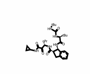 CCC[C@H](NC(=O)[C@@H]1Cc2ccccc2[C@@H]1NC(=O)[C@@H](NC(=O)NC(C)(C)C)C(C)(C)C)C(=O)C(=O)NC1CC1